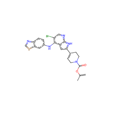 C=C(C)OC(=O)N1CC=C(c2cc3c(Nc4ccc5ncsc5c4)c(Br)cnc3[nH]2)CC1